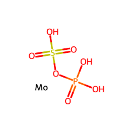 O=P(O)(O)OS(=O)(=O)O.[Mo]